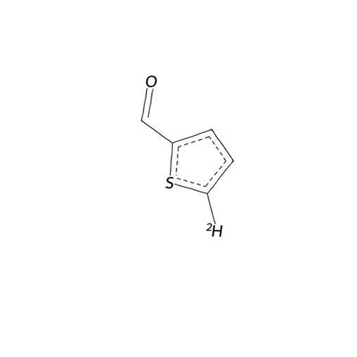 [2H]c1ccc(C=O)s1